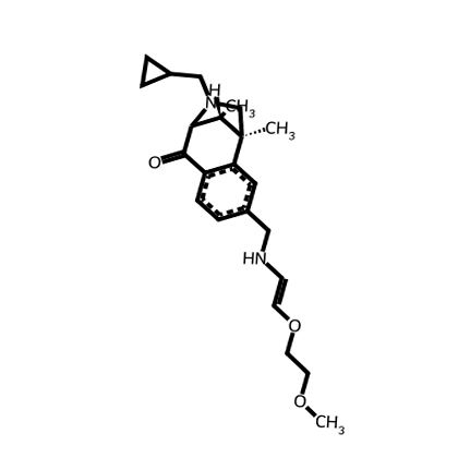 COCCO/C=C/NCc1ccc2c(c1)[C@]1(C)CN(CC3CC3)C(C2=O)[C@@H]1C